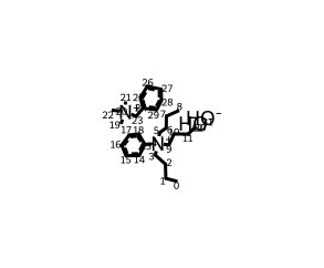 CCCC[N+](CCCC)(CCCC)c1ccccc1.C[N+](C)(C)Cc1ccccc1.[OH-].[OH-]